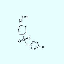 O=S(=O)(Cc1ccc(F)cc1)C1CCC(=NO)CC1